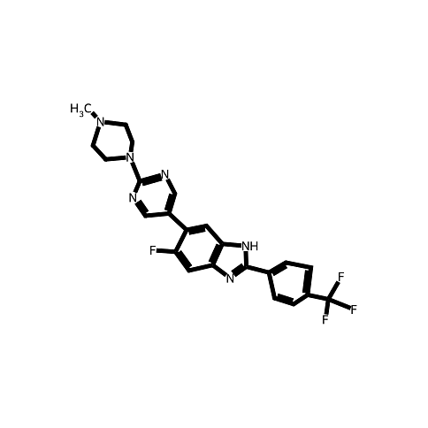 CN1CCN(c2ncc(-c3cc4[nH]c(-c5ccc(C(F)(F)F)cc5)nc4cc3F)cn2)CC1